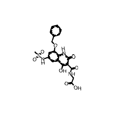 CS(=O)(=O)Nc1cc(OCc2ccccc2)c2[nH]c(=O)c(C(=O)NCC(=O)O)c(O)c2c1